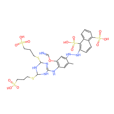 Cc1cc(NC2=NC(SCCCS(=O)(=O)O)NC(SCCCS(=O)(=O)O)N2)c(OC=N)cc1NNc1ccc2c(S(=O)(=O)O)cccc2c1S(=O)(=O)O